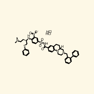 CN(C)CC[C@H](CSc1ccccc1)Nc1ccc(S(=O)(=O)NC(=O)c2ccc3c(c2)CC[C@@H]2CN(Cc4ccccc4-c4ccccc4)CCN32)cc1[N+](=O)[O-].Cl.Cl